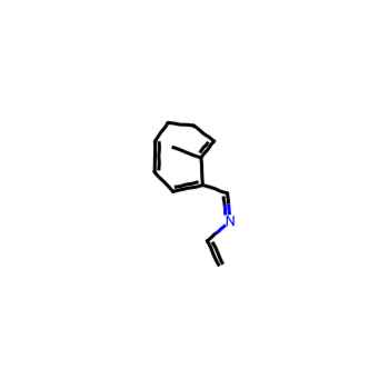 C=C\N=C/C1=C/C=C\CC\C=C\1C